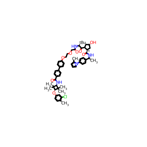 Cc1ccc(O[C@H]2C(C)(C)[C@H](NC(=O)c3ccc(-c4ccc(OCCOCC(=O)N[C@H](C(=O)C5C[C@H](O)C[C@H]5C(=O)N[C@@H](C)c5ccc(-n6cccc6C)cc5)C(C)(C)C)cc4)cc3)C2(C)C)cc1Cl